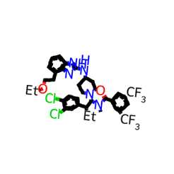 CCOCCc1cccc2[nH]c(NC3CCN(C(C(CC)c4ccc(Cl)c(Cl)c4)N(C)C(=O)c4cc(C(F)(F)F)cc(C(F)(F)F)c4)CC3)nc12